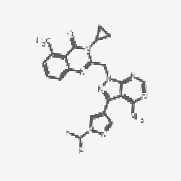 Cc1cccc2nc(Cn3nc(-c4cnn(C(F)F)c4)c4c(N)ncnc43)n(C3CC3)c(=O)c12